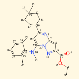 CCOC(=O)c1cc2nc(C3CCC(C)(C)CC3)cc(N(C)c3c(C)cccc3C)n2n1